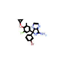 Cc1cc(C2(c3cccc(Br)c3)N=C(N)c3nccnc32)cc(F)c1OC1CC1